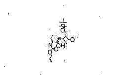 C=CCOC(=O)N(C)[C@H]1CCC[C@H]([C@H]2NC(=O)[C@@H]2[C@@H](C)O[Si](C)(C)C(C)(C)C)[C@@H]1O